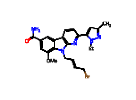 CCn1nc(C)cc1-c1ccc2c3cc(C(N)=O)cc(OC)c3n(CC=CCBr)c2n1